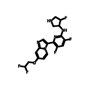 Fc1cc(F)c(-c2cnc3cc(OCC(F)F)ccn23)nc1NC1CNCC1F